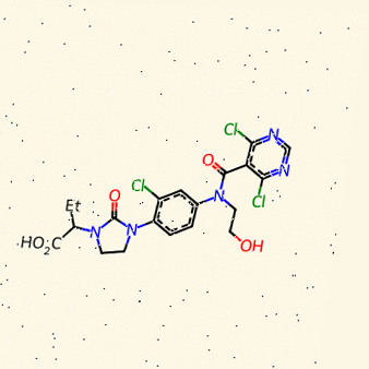 CCC(C(=O)O)N1CCN(c2ccc(N(CCO)C(=O)c3c(Cl)ncnc3Cl)cc2Cl)C1=O